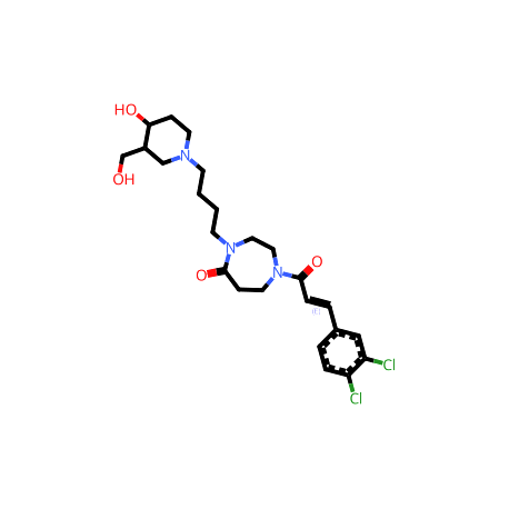 O=C(/C=C/c1ccc(Cl)c(Cl)c1)N1CCC(=O)N(CCCCN2CCC(O)C(CO)C2)CC1